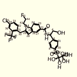 O=C(NC(CO)c1ccc(S(=O)(=O)C(O)(O)C(O)(O)O)cc1)c1ccc2c(c1)cc(Cc1ccc(Cl)cc1C(F)(F)F)n2CCF